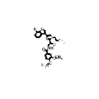 CCCn1cc(-c2csc3c(F)cccc23)nc1C(=O)CNC(=O)c1ccc(OC)c(OC)c1